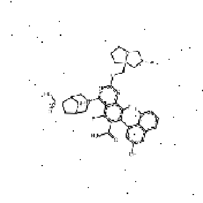 NC(=O)c1c(-c2cc(O)cc3cccc(F)c23)c(F)c2nc(OC[C@@]34CCCN3C[C@H](F)C4)nc(N3CC4CCC(C3)N4)c2c1F.O=CO